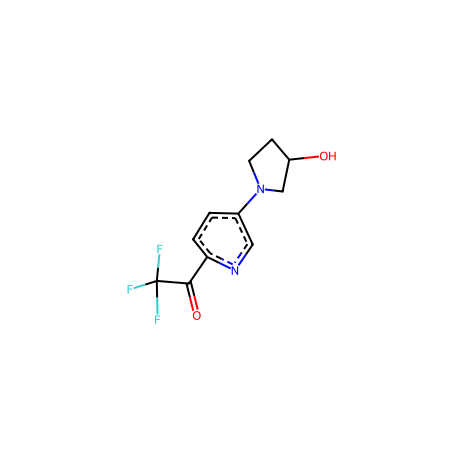 O=C(c1ccc(N2CCC(O)C2)cn1)C(F)(F)F